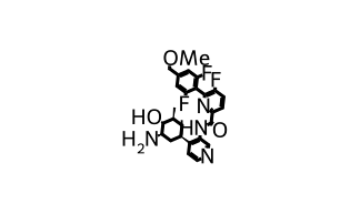 COCc1cc(F)c(-c2nc(C(=O)Nc3cnccc3[C@H]3C[C@@H](N)[C@H](O)[C@@H](C)C3)ccc2F)c(F)c1